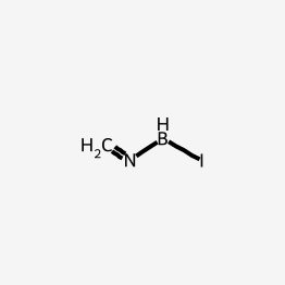 C=NBI